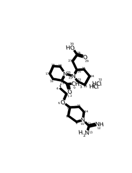 CC(=O)[C@@]1(CCOC2CCN(C(=N)N)CC2)CCCCN1N1CCCCC1CC(=O)O.Cl.Cl